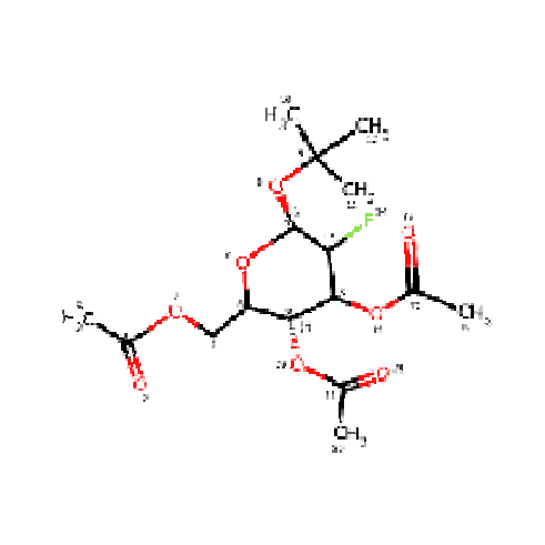 CC(=O)OCC1O[C@@H](OC(C)(C)C)C(F)C(OC(C)=O)[C@@H]1OC(C)=O